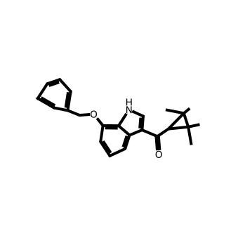 CC1(C)C(C(=O)c2c[nH]c3c(OCc4ccccc4)cccc23)C1(C)C